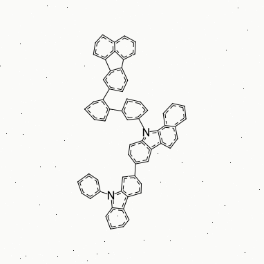 c1ccc(-n2c3ccccc3c3ccc(-c4ccc5c(c4)c4ccc6ccccc6c4n5-c4cccc(-c5ccccc5-c5ccc6c(c5)-c5cccc7cccc-6c57)c4)cc32)cc1